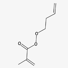 C=CCCOOC(=O)C(=C)C